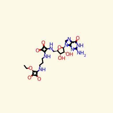 CCOc1c(NCCCNc2c(NC[C@H]3O[C@@H](n4cnc5c(=O)[nH]c(N)nc54)[C@H](O)[C@@H]3O)c(=O)c2=O)c(=O)c1=O